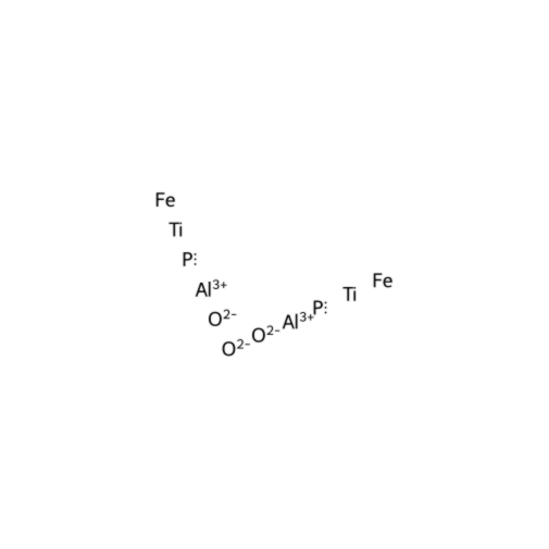 [Al+3].[Al+3].[Fe].[Fe].[O-2].[O-2].[O-2].[P].[P].[Ti].[Ti]